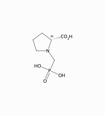 O=C(O)[C@H]1CCCN1CP(=O)(O)O